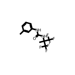 Cc1cccc(NC(=O)NC(C)(C(F)(F)F)C(F)(F)F)c1